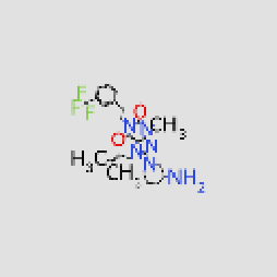 CC(C)=CCn1c(N2CCCC(N)C2)nc2c1c(=O)n(CCc1cccc(C(F)(F)F)c1)c(=O)n2C